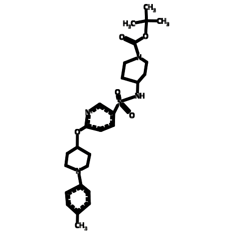 Cc1ccc(N2CCC(Oc3ccc(S(=O)(=O)NC4CCN(C(=O)OC(C)(C)C)CC4)cn3)CC2)cc1